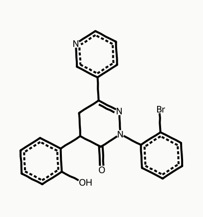 O=C1C(c2ccccc2O)CC(c2cccnc2)=NN1c1ccccc1Br